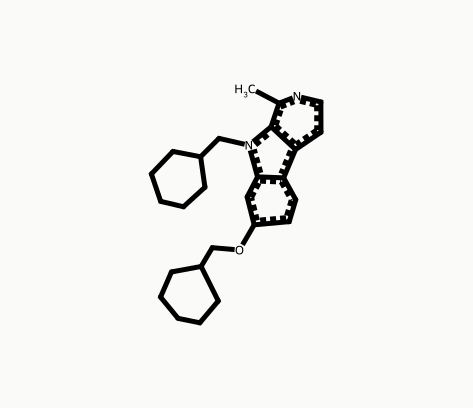 Cc1nccc2c3ccc(OCC4CCCCC4)cc3n(CC3CCCCC3)c12